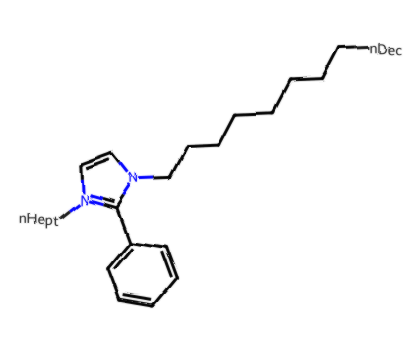 CCCCCCCCCCCCCCCCCCn1cc[n+](CCCCCCC)c1-c1ccccc1